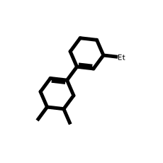 CCC1C=C(C2=CCC(C)C(C)C2)CCC1